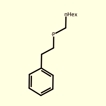 CCCCCCC[P]CCc1ccccc1